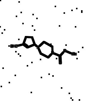 CC(C)(C)OC(=O)N1CCN(C2C=C(C=O)CC2)CC1